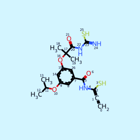 C=C=C(S)NC(=O)c1cc(OC(C)C)cc(OC(C)(C)C(=O)NC(=N)S)c1